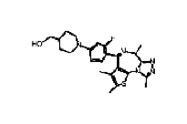 Cc1sc2c(c1C)C(c1ccc(N3CCC(CO)CC3)cc1F)=N[C@@H](C)c1nnc(C)n1-2